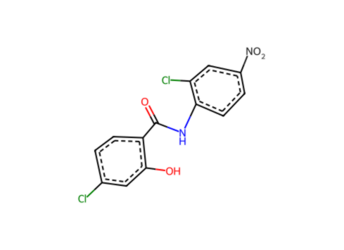 O=C(Nc1ccc([N+](=O)[O-])cc1Cl)c1ccc(Cl)cc1O